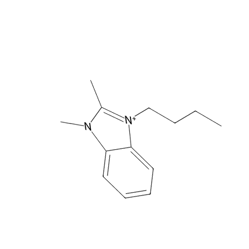 CCCC[n+]1c(C)n(C)c2ccccc21